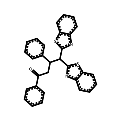 O=C(CC(c1ccccc1)C(c1nc2ccccc2s1)c1nc2ccccc2s1)c1ccccc1